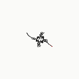 CCCCCCCCCCOc1ccc(C2=C3C=CC(=N3)C(c3ccc(Br)cc3)=C3C=CC(=N3)C(c3ccc(OCCCCCCCCCC)cc3)=C3C=CC(=N3)C(c3ccc(Br)cc3)=C3C=CC2=N3)cc1